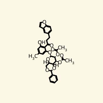 CC(=O)O[C@@H]1[C@@H](OC(C)=O)[C@H](Oc2cc(C)cc(O)c2C(=O)CCc2ccc3occc3c2)O[C@@H]2COC(c3ccccc3)O[C@@H]12